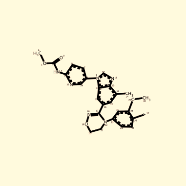 COC(=O)Nc1ccc(-n2cnc3c(C)cc(C4=NOCCN4c4ccc(F)c(OC)c4)cc32)cn1